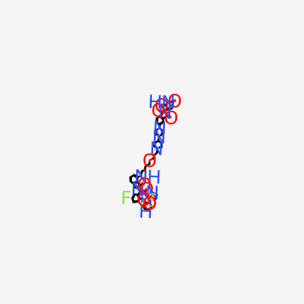 O=C1CCC(N2C(=O)c3ccc(N4CCN(C5CCN(CCCOCCCCNc6cccc7c6C(=O)N(C(C(=O)Nc6nccs6)c6cc(F)ccc6OC6CCCCO6)C7)CC5)CC4)cc3C2=O)C(=O)N1